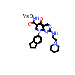 CONC(=O)c1cn(-c2ccc3c(c2)CCC3)c2nc(NCCN3CCCCC3)ncc2c1=O